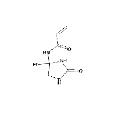 C=CC(=O)NC1(CC)CNC(=O)N1